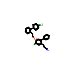 N#CCCc1cc(Cl)ccc1-c1ccccc1.OCCc1ccccc1-c1ccc(Cl)cc1